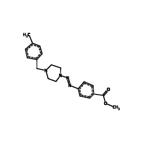 COC(=O)c1ccc(N=NN2CCN(Cc3ccc(C)cc3)CC2)cc1